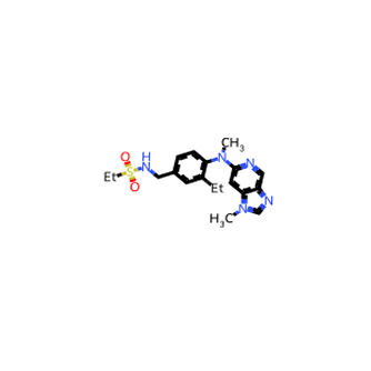 CCc1cc(CNS(=O)(=O)CC)ccc1N(C)c1cc2c(cn1)ncn2C